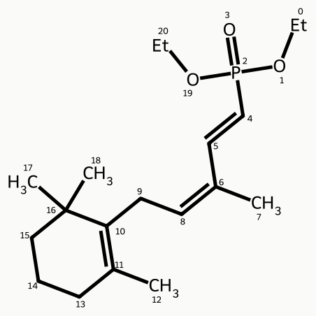 CCOP(=O)(C=CC(C)=CCC1=C(C)CCCC1(C)C)OCC